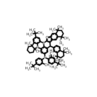 Cc1cc(C(C)(C)C)ccc1N(c1cc2c3c(c1)N1c4c(cc(C(C)(C)C)cc4C4(C)CCCCC14C)B3c1oc3cc4c(cc3c1C2c1ccc2c(c1)C(C)(C)CCC2(C)C)C(C)(C)CCC4(C)C)c1ccc(C(C)(C)C)cc1C